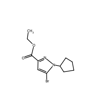 CCOC(=O)c1cc(Br)n(C2CCCC2)n1